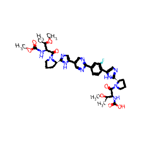 COC(=O)N[C@H](C(=O)N1CCC[C@H]1c1ncc(-c2cnc(-c3ccc(-c4cnc([C@@H]5CCCN5C(=O)[C@@H](NC(=O)O)[C@@H](C)OC)[nH]4)c(F)c3)nc2)[nH]1)[C@@H](C)OC